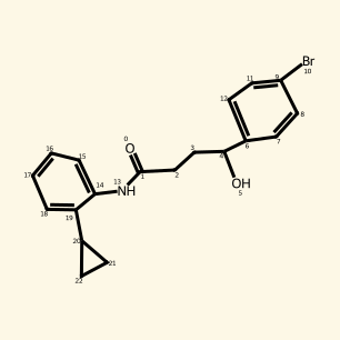 O=C(CCC(O)c1ccc(Br)cc1)Nc1ccccc1C1CC1